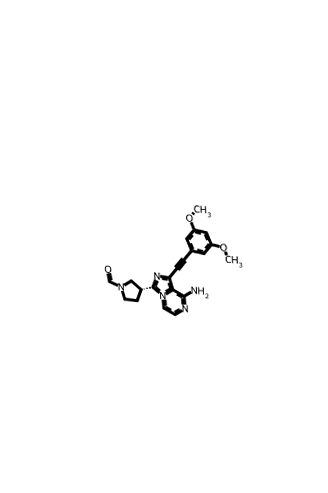 COc1cc(C#Cc2nc([C@@H]3CCN(C=O)C3)n3ccnc(N)c23)cc(OC)c1